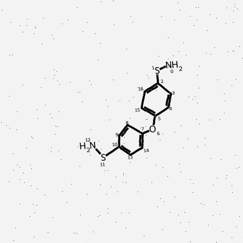 NSc1ccc(Oc2ccc(SN)cc2)cc1